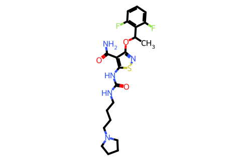 CC(Oc1nsc(NC(=O)NCCCCN2CCCC2)c1C(N)=O)c1c(F)cccc1F